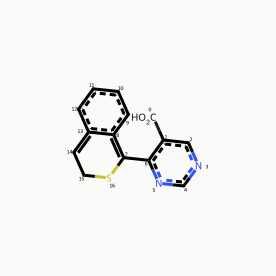 O=C(O)c1cncnc1C1=c2ccccc2=CCS1